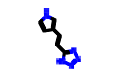 C(=Cc1nnn[nH]1)c1cc[nH]c1